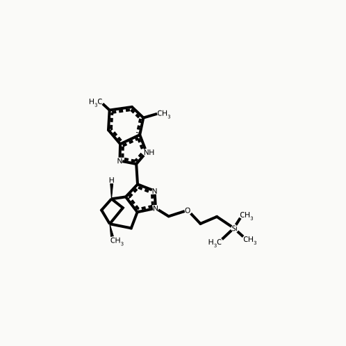 Cc1cc(C)c2[nH]c(-c3nn(COCC[Si](C)(C)C)c4c3[C@H]3C[C@@](C)(C4)C3)nc2c1